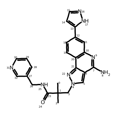 CC(C)(Cn1cc2c(N)nc3cc(-c4ccn[nH]4)ccc3c2n1)C(=O)NCc1cccnc1